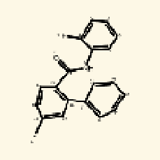 O=C(Nc1ccccc1F)c1ccc(F)cc1-c1ccccc1